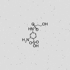 Nc1cc(NS(=O)(=O)CCO)ccc1S(=O)(=O)O